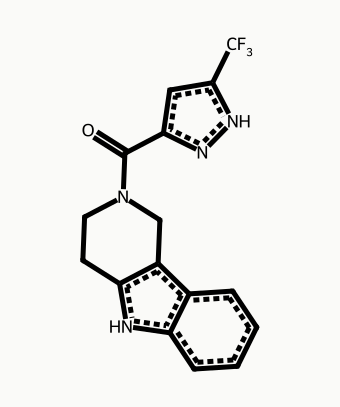 O=C(c1cc(C(F)(F)F)[nH]n1)N1CCc2[nH]c3ccccc3c2C1